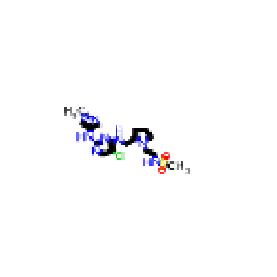 Cn1cc(Nc2ncc(Cl)c(NCC3CCCN3CCNS(C)(=O)=O)n2)cn1